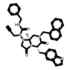 C#CCN(C(=O)NCc1ccccc1)N1CC(=O)N2[C@@H](Cc3ccc4occc4c3)C(=O)N(Cc3cccc4ccccc34)C[C@@H]21